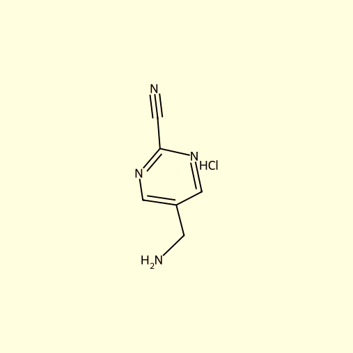 Cl.N#Cc1ncc(CN)cn1